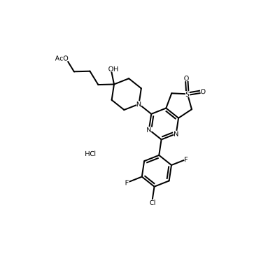 CC(=O)OCCCC1(O)CCN(c2nc(-c3cc(F)c(Cl)cc3F)nc3c2CS(=O)(=O)C3)CC1.Cl